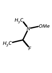 CON(C)C(C)F